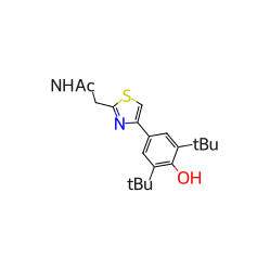 CC(=O)NCc1nc(-c2cc(C(C)(C)C)c(O)c(C(C)(C)C)c2)cs1